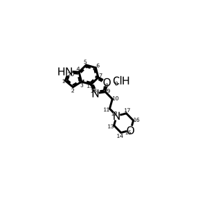 Cl.c1cc2c(ccc3oc(CCN4CCOCC4)nc32)[nH]1